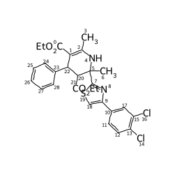 CCOC(=O)C1=C(C)NC(C)(c2nc(-c3ccc(Cl)c(Cl)c3)cs2)C(C(=O)OCC)C1c1ccccc1